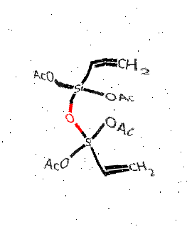 C=C[Si](OC(C)=O)(OC(C)=O)O[Si](C=C)(OC(C)=O)OC(C)=O